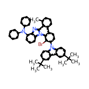 Cc1cccc2c3ccc(-n4c5ccc(C(C)(C)C)cc5c5cc(C(C)(C)C)ccc54)c(Br)c3n3c4cccc(N(c5ccccc5)c5ccccc5)c4nc3c12